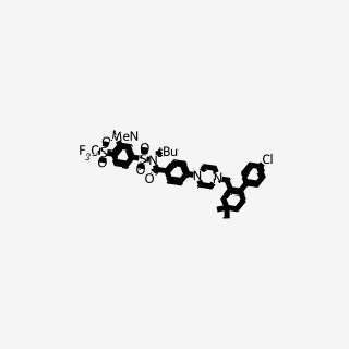 CNc1cc(S(=O)(=O)N(C(=O)c2ccc(N3CCN(CC4=C(c5ccc(Cl)cc5)CCC(C)(C)C4)CC3)cc2)C(C)(C)C)ccc1S(=O)(=O)C(F)(F)F